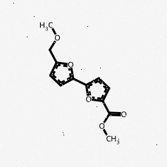 COCc1ccc(-c2ccc(C(=O)OC)o2)o1